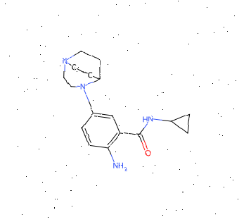 Nc1ccc(N2CCN3CCC2CC3)cc1C(=O)NC1CC1